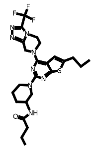 CCCC(=O)NC1CCCN(c2nc(N3CCn4c(nnc4C(F)(F)F)C3)c3cc(CCC)sc3n2)C1